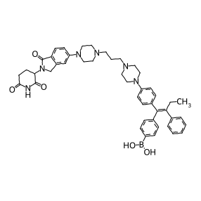 CC/C(=C(/c1ccc(B(O)O)cc1)c1ccc(N2CCN(CCCN3CCN(c4ccc5c(c4)CN(C4CCC(=O)NC4=O)C5=O)CC3)CC2)cc1)c1ccccc1